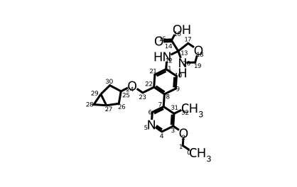 CCOc1cncc(-c2ccc(NC3(C(=O)O)COCN3)cc2COC2CC3CC3C2)c1C